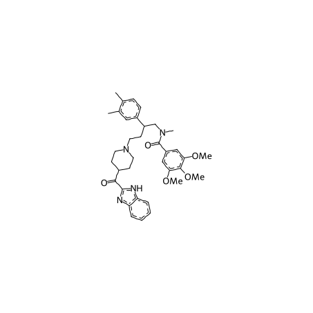 COc1cc(C(=O)N(C)CC(CCN2CCC(C(=O)c3nc4ccccc4[nH]3)CC2)c2ccc(C)c(C)c2)cc(OC)c1OC